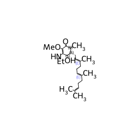 CCNC1=C(OC)C(=O)[C@@H](C)[C@H](C/C=C(\C)CC/C=C(\C)CCC=C(C)C)[C@@H]1O